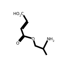 CC(N)COC(=O)C=CC(=O)O